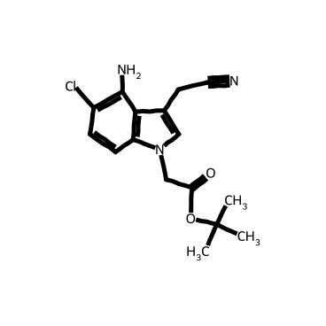 CC(C)(C)OC(=O)Cn1cc(CC#N)c2c(N)c(Cl)ccc21